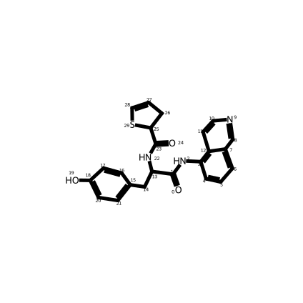 O=C(Nc1cccc2cnccc12)C(Cc1ccc(O)cc1)NC(=O)C1CC=CS1